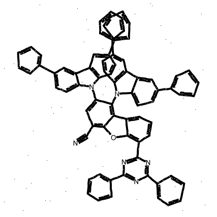 N#Cc1cc(-n2c3ccc(-c4ccccc4)cc3c3cc(-c4ccccc4)ccc32)c(-n2c3ccc(-c4ccccc4)cc3c3cc(-c4ccccc4)ccc32)c2c1oc1c(-c3nc(-c4ccccc4)nc(-c4ccccc4)n3)cccc12